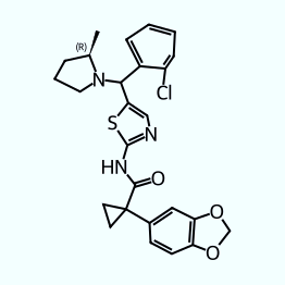 C[C@@H]1CCCN1C(c1cnc(NC(=O)C2(c3ccc4c(c3)OCO4)CC2)s1)c1ccccc1Cl